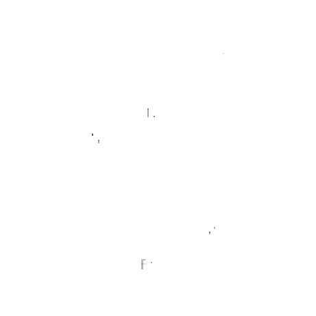 COc1cc2c(cc1Br)ncn2C1COC1